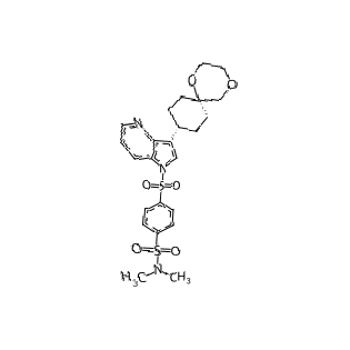 CN(C)S(=O)(=O)c1ccc(S(=O)(=O)n2cc([C@H]3CC[C@@]4(CC3)COCCO4)c3ncccc32)cc1